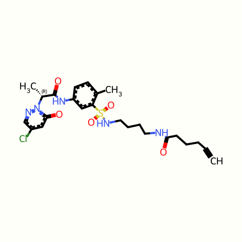 C#CCCCC(=O)NCCCCNS(=O)(=O)c1cc(NC(=O)[C@@H](C)n2ncc(Cl)cc2=O)ccc1C